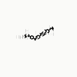 CC[C@H]1CN(c2ncc(-c3ncc[nH]3)cc2Cl)CCN1C1CCN(C(=O)c2ccc(C(C)(C)NS(N)(=O)=O)cc2)CC1